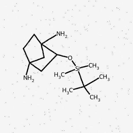 CC(C)(C)[Si](C)(C)OC1CC2(N)CCC1(N)C2